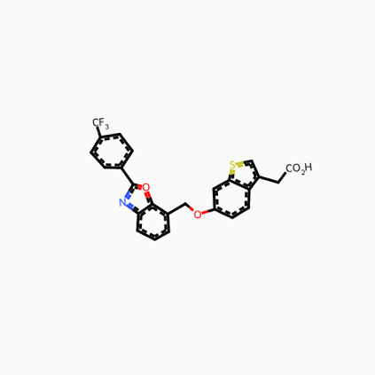 O=C(O)Cc1csc2cc(OCc3cccc4nc(-c5ccc(C(F)(F)F)cc5)oc34)ccc12